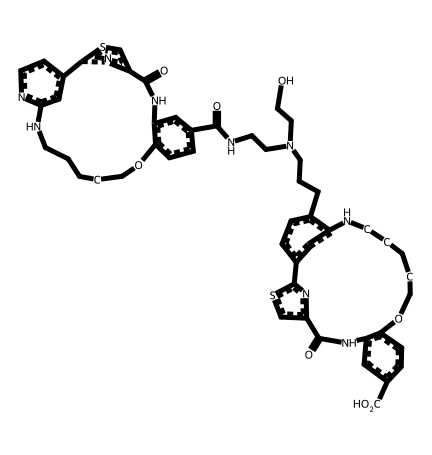 O=C(O)c1ccc2c(c1)NC(=O)c1csc(n1)-c1ccc(CCCN(CCO)CCNC(=O)c3ccc4c(c3)NC(=O)c3csc(n3)-c3ccnc(c3)NCCCCCO4)c(c1)NCCCCCO2